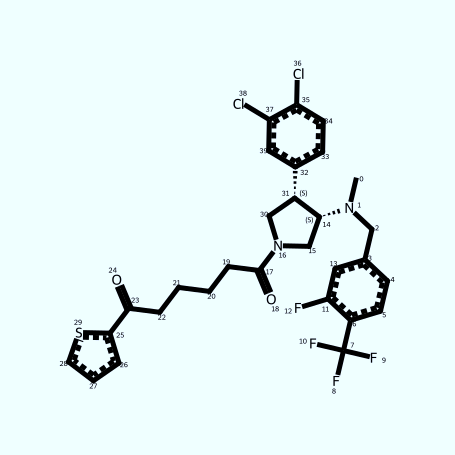 CN(Cc1ccc(C(F)(F)F)c(F)c1)[C@@H]1CN(C(=O)CCCCC(=O)c2cccs2)C[C@@H]1c1ccc(Cl)c(Cl)c1